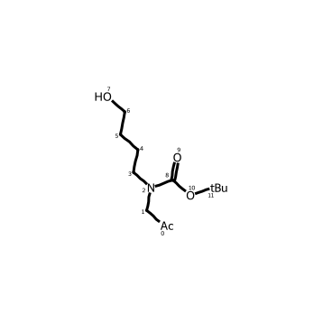 CC(=O)CN(CCCCO)C(=O)OC(C)(C)C